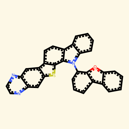 c1ccc2c(c1)oc1c(-n3c4ccccc4c4ccc5c6cc7nccnc7cc6sc5c43)cccc12